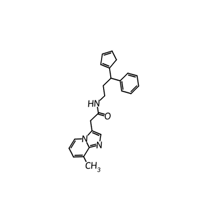 Cc1cccn2c(CC(=O)NCCC(C3=CC=CC3)c3ccccc3)cnc12